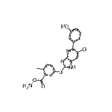 Cc1ccc(Oc2nc3nc(-c4cccc(O)c4)c(Cl)cc3[nH]2)cc1C(=O)ON